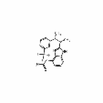 C[C@H](c1cccc(C(F)(F)F)c1)N(C)c1nc2c(CC(N)=O)cccc2[nH]1